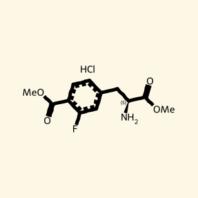 COC(=O)c1ccc(C[C@H](N)C(=O)OC)cc1F.Cl